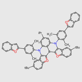 Cc1cc(-c2cc3ccccc3o2)cc(C)c1N1c2cc(C(C)C)cc3c2B(c2oc4ccc(C(C)(C)C)cc4c21)c1oc2ccc(C(C)(C)C)cc2c1N3c1c(C)cc(-c2cc3ccccc3o2)cc1C